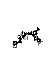 O=C(Nc1cc(NCc2cn3cc(C4CC4)cc(N4CCN5CC(F)(F)CC5C4)c3n2)ncn1)[C@H]1C[C@@H]1c1cccc(Cl)c1